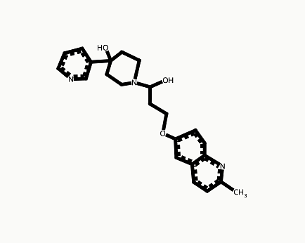 Cc1ccc2cc(OCCC(O)N3CCC(O)(c4cccnc4)CC3)ccc2n1